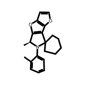 Cc1ccccc1N1[C@@H](C)c2oc3ccoc3c2C12CCCCC2